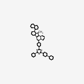 C=C1C2=C(C=C(c3ccc(-c4nc(-c5ccccc5)nc(-c5ccc(-c6ccccc6)cc5)n4)cc3)C3C=CC=CC23)c2cccc(-c3cccc4ccccc34)c21